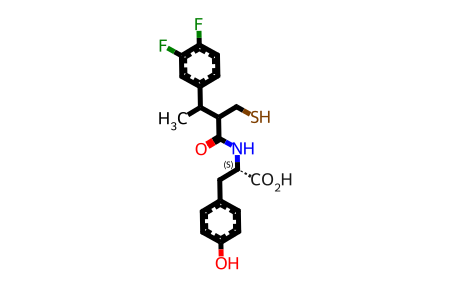 CC(c1ccc(F)c(F)c1)C(CS)C(=O)N[C@@H](Cc1ccc(O)cc1)C(=O)O